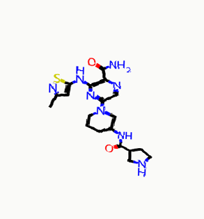 Cc1cc(Nc2nc(N3CCCC(NC(=O)C4CCNC4)C3)cnc2C(N)=O)sn1